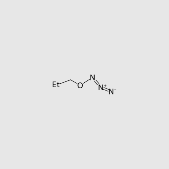 CCCON=[N+]=[N-]